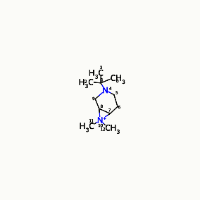 CC(C)(C)N1CCC2C(C1)[N+]2(C)C